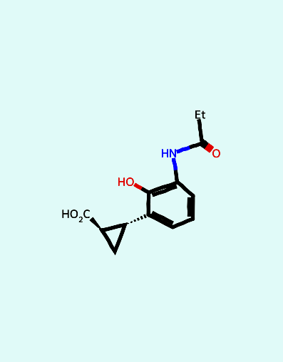 CCC(=O)Nc1cccc([C@@H]2C[C@H]2C(=O)O)c1O